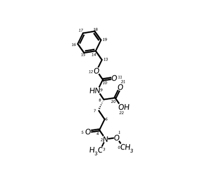 CON(C)C(=O)CC[C@H](NC(=O)OCc1ccccc1)C(=O)O